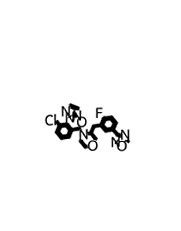 O=C(c1cccc(Cl)c1-n1nccn1)N1CCOCC1Cc1cc(-c2ncon2)ccc1F